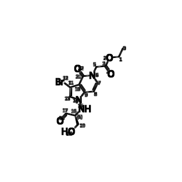 CCOC(=O)Cn1ccc2c(c(Br)cn2N[C@H](C=O)CO)c1=O